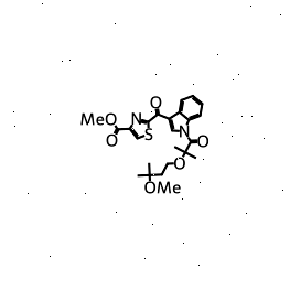 COC(=O)c1csc(C(=O)c2cn(C(=O)C(C)(C)OCCC(C)(C)OC)c3ccccc23)n1